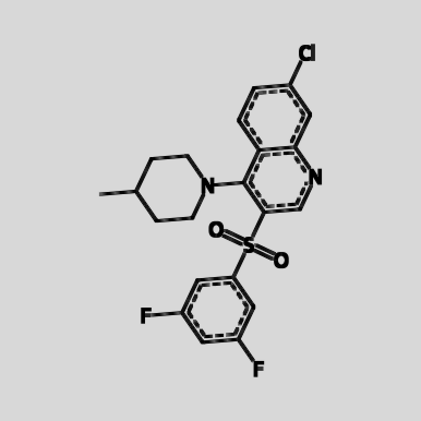 CC1CCN(c2c(S(=O)(=O)c3cc(F)cc(F)c3)cnc3cc(Cl)ccc23)CC1